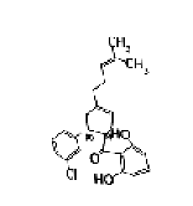 CC(C)=CCCC1=CC[C@@H](C(=O)c2c(O)cccc2O)[C@H](c2cccc(Cl)c2)C1